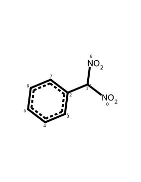 O=[N+]([O-])[C](c1[c]cccc1)[N+](=O)[O-]